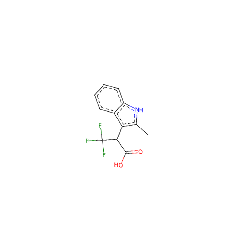 Cc1[nH]c2ccccc2c1C(C(=O)O)C(F)(F)F